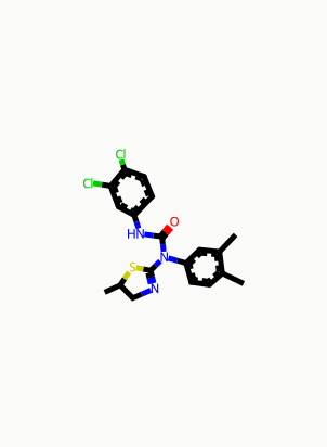 Cc1ccc(N(C(=O)Nc2ccc(Cl)c(Cl)c2)C2=NCC(C)S2)cc1C